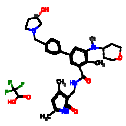 CCN(c1cc(-c2ccc(CN3CC[C@H](O)C3)cc2)cc(C(=O)NCc2c(C)cc(C)[nH]c2=O)c1C)C1CCOCC1.O=C(O)C(F)(F)F